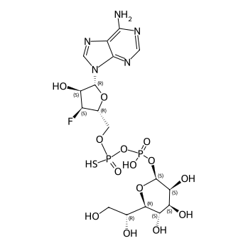 Nc1ncnc2c1ncn2[C@@H]1O[C@H](COP(=O)(S)OP(=O)(O)O[C@@H]2O[C@H]([C@H](O)CO)[C@@H](O)[C@H](O)[C@@H]2O)[C@@H](F)[C@H]1O